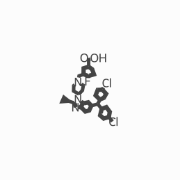 O=C(O)c1ccc(F)c(CN2CCC(n3c(C4CC4)nc4ccc(C(c5ccc(Cl)cc5)c5ccc(Cl)cc5)cc43)CC2)c1